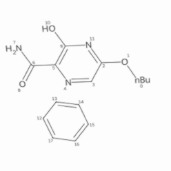 CCCCOc1cnc(C(N)=O)c(O)n1.c1ccccc1